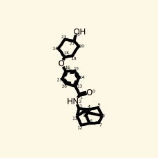 O=C(NC1C2CC3CC(C2)CC1C3)c1ccc(OC2CCC(O)CC2)cc1